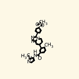 Cc1ccc(C(=O)Nc2ccnn2C)cc1-c1ccn2c(-c3ccc(S(C)(=O)=O)cc3)nnc2c1